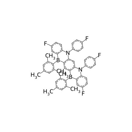 Cc1cc(C)c(B2c3cc(F)ccc3N(c3ccc(F)cc3)c3cc4c(cc32)B(c2c(C)cc(C)cc2C)c2cc(F)ccc2N4c2ccc(F)cc2)c(C)c1